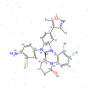 Cc1noc(C)c1-c1ccc2c(c1)nc([C@@H]1CCCC(=O)N1c1ccc(F)c(F)c1)n2-c1ccc(N)c(Cl)c1